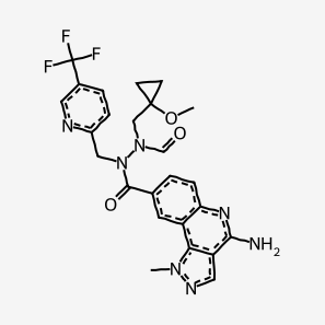 COC1(CN(C=O)N(Cc2ccc(C(F)(F)F)cn2)C(=O)c2ccc3nc(N)c4cnn(C)c4c3c2)CC1